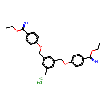 CCOC(=N)c1ccc(OCc2cc(C)cc(COc3ccc(C(=N)OCC)cc3)c2)cc1.Cl.Cl